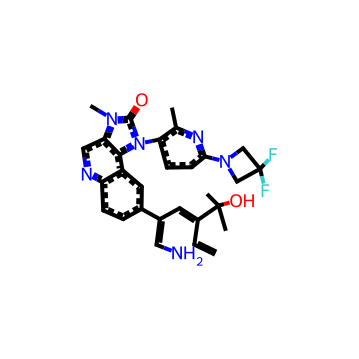 C=C/C(=C\C(=C/N)c1ccc2ncc3c(c2c1)n(-c1ccc(N2CC(F)(F)C2)nc1C)c(=O)n3C)C(C)(C)O